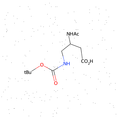 CC(=O)NC(CNC(=O)OC(C)(C)C)CC(=O)O